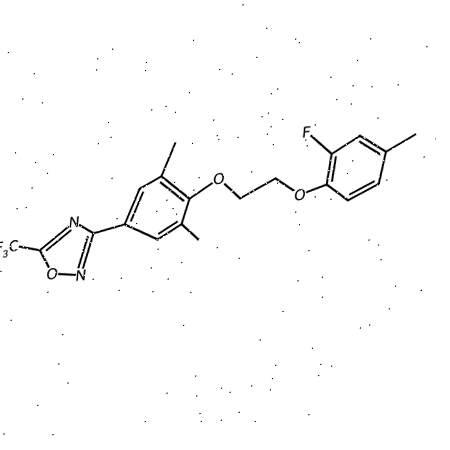 Cc1ccc(OCCOc2c(C)cc(-c3noc(C(F)(F)F)n3)cc2C)c(F)c1